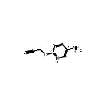 C#CCOc1ccc(N)cn1